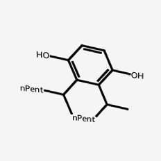 CCCCCC(C)c1c(O)ccc(O)c1C(C)CCCCC